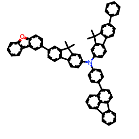 CC1(C)c2cc(-c3ccccc3)ccc2-c2ccc(N(c3ccc(-c4ccc5c6c(cccc46)-c4ccccc4-5)cc3)c3ccc4c(c3)C(C)(C)c3cc(-c5ccc6oc7ccccc7c6c5)ccc3-4)cc21